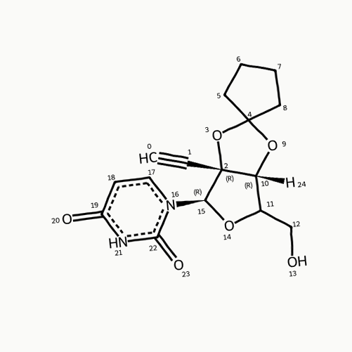 C#C[C@@]12OC3(CCCC3)O[C@@H]1C(CO)O[C@H]2n1ccc(=O)[nH]c1=O